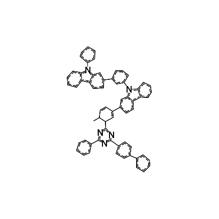 CC1C=CC(c2ccc3c4ccccc4n(-c4cccc(-c5ccc6c7ccccc7n(-c7ccccc7)c6c5)c4)c3c2)=CC1c1nc(-c2ccccc2)nc(-c2ccc(-c3ccccc3)cc2)n1